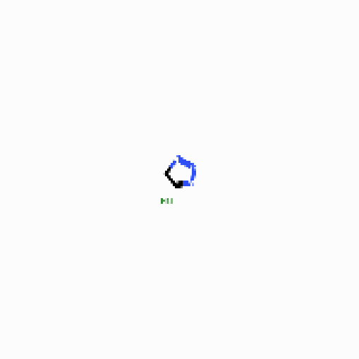 C1=NN=NC1.Cl